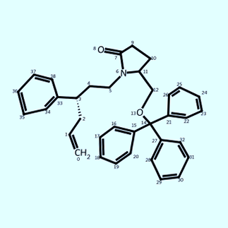 C=CC[C@@H](CCN1C(=O)CCC1COC(c1ccccc1)(c1ccccc1)c1ccccc1)c1ccccc1